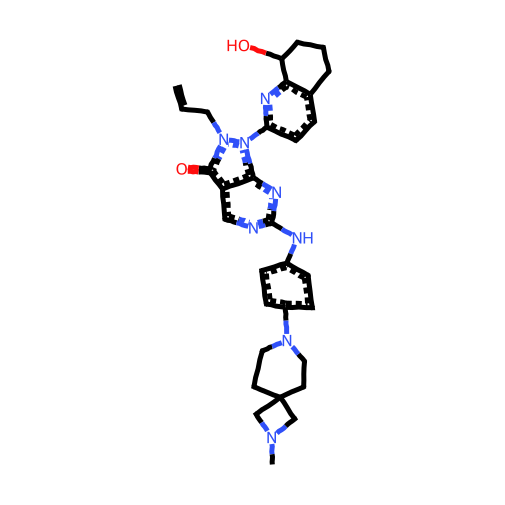 C=CCn1c(=O)c2cnc(Nc3ccc(N4CCC5(CC4)CN(C)C5)cc3)nc2n1-c1ccc2c(n1)C(O)CCC2